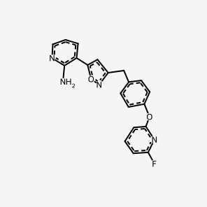 Nc1ncccc1-c1cc(Cc2ccc(Oc3cccc(F)n3)cc2)no1